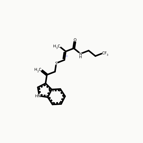 C=C(CS/C=C(\C)C(=O)NCCC(F)(F)F)c1c[nH]c2ccccc12